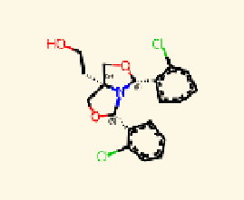 OCC[C@]12CO[C@H](c3ccccc3Cl)N1[C@H](c1ccccc1Cl)OC2